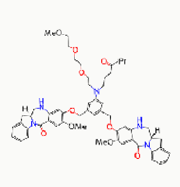 COCCOCCOCCN(CCCC(=O)C(C)C)c1cc(COc2cc3c(cc2OC)C(=O)N2c4ccccc4C[C@H]2CN3)cc(COc2cc3c(cc2OC)C(=O)N2c4ccccc4C[C@H]2CN3)c1